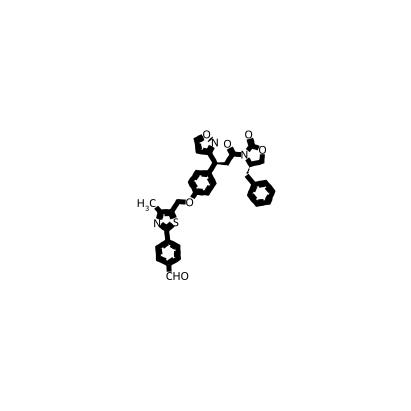 Cc1nc(-c2ccc(C=O)cc2)sc1COc1ccc([C@H](CC(=O)N2C(=O)OC[C@@H]2Cc2ccccc2)c2ccon2)cc1